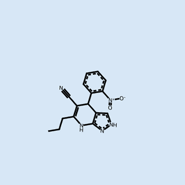 CCCC1=C(C#N)C(c2ccccc2[N+](=O)[O-])c2c[nH]nc2N1